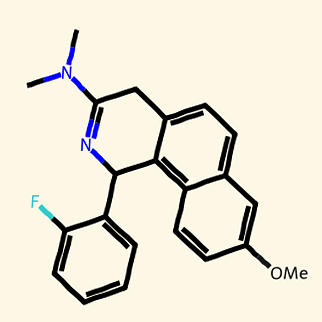 COc1ccc2c3c(ccc2c1)CC(N(C)C)=NC3c1ccccc1F